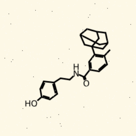 Cc1ccc(C(=O)NCCc2ccc(O)cc2)cc1C12CC3CC(CC(C3)C1)C2